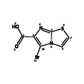 O=C(O)c1nc2sccn2c1Br